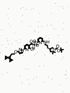 CC(C)(C)OC(=O)N1C[C@H](CCCNc2cccc(S(=O)(=O)NC(=O)c3ccc(-n4ccc(OCCC5C6(CC6)C56CC6)n4)nc3Cl)n2)CC1(C)C